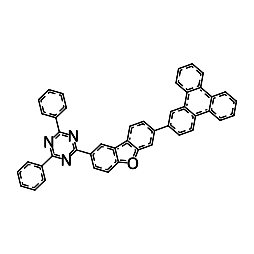 c1ccc(-c2nc(-c3ccccc3)nc(-c3ccc4oc5cc(-c6ccc7c8ccccc8c8ccccc8c7c6)ccc5c4c3)n2)cc1